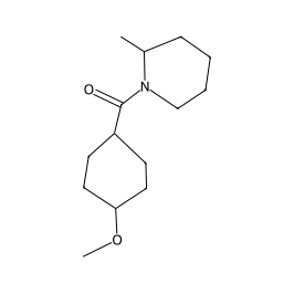 COC1CCC(C(=O)N2CCCCC2C)CC1